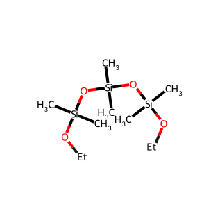 CCO[Si](C)(C)O[Si](C)(C)O[Si](C)(C)OCC